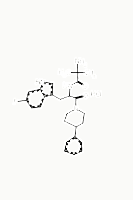 CC(C)(N)C(=O)NC(Cc1c[nH]c2cc(F)ccc12)C(=O)N1CCC(c2ccccc2)CC1.Cl